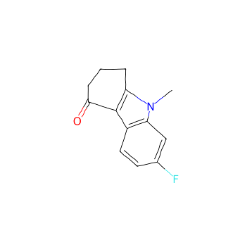 Cn1c2c(c3ccc(F)cc31)C(=O)CCC2